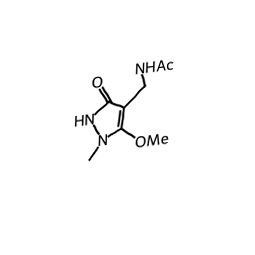 COc1c(CNC(C)=O)c(=O)[nH]n1C